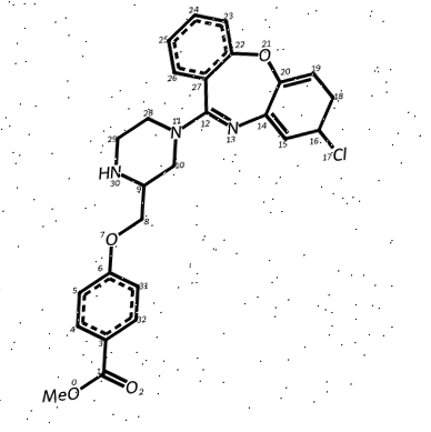 COC(=O)c1ccc(OCC2CN(C3=NC4=CC(Cl)CC=C4Oc4ccccc43)CCN2)cc1